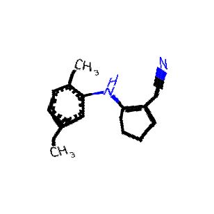 Cc1ccc(C)c(NC2=C(C#N)CCC2)c1